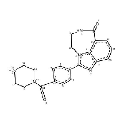 O=C1NCCn2c(-c3ccc(C(=O)N4CC[SH2]CC4)cc3)nc3cccc1c32